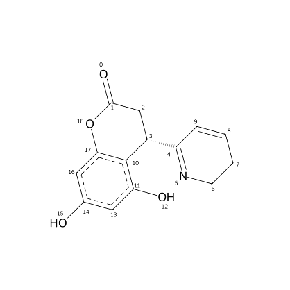 O=C1C[C@H](C2=NCCC=C2)c2c(O)cc(O)cc2O1